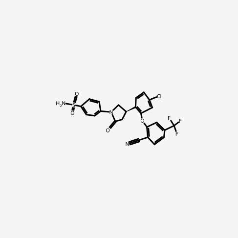 N#Cc1ccc(C(F)(F)F)cc1Oc1cc(Cl)ccc1[C@H]1CC(=O)N(c2ccc(S(N)(=O)=O)cc2)C1